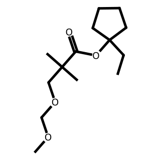 CCC1(OC(=O)C(C)(C)COCOC)CCCC1